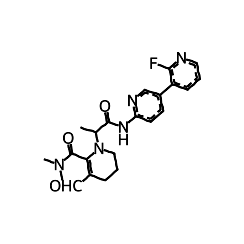 CC(C(=O)Nc1ccc(-c2cccnc2F)cn1)N1CCCC(C=O)=C1C(=O)N(C)C